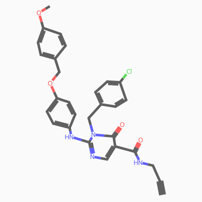 C#CCNC(=O)c1cnc(Nc2ccc(OCc3ccc(OC)cc3)cc2)n(Cc2ccc(Cl)cc2)c1=O